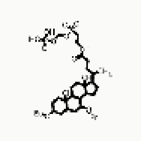 CCOC1CCC2(C)C(C1)CC(OC(C)C)C1C2CCC2(C)C(C(C)CCC(=O)NCCS(=O)(=O)OCOP(=O)(O)O)CCC12